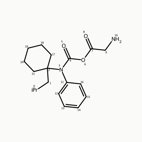 CC(C)CC1(N(C(=O)OC(=O)CN)c2ccccc2)CCCCC1